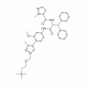 COc1cc(NC(=O)C(NC(=O)c2ccnn2C)C(c2ccccc2)c2ccccc2)ccc1-c1cn(COCC[Si](C)(C)C)nc1C